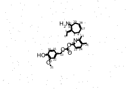 C/C=C1\C[C@@H](Cc2nc(OC(=O)OCc3ccc(O)c(OC)c3)ccc2C)C=CCC1N